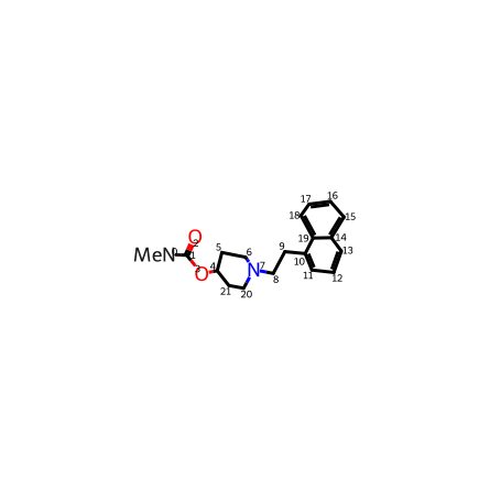 CNC(=O)OC1CCN(CCc2cccc3ccccc23)CC1